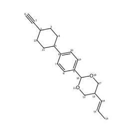 C#CC1CCC(c2ccc(C3OCC(/C=C/C)CO3)cc2)CC1